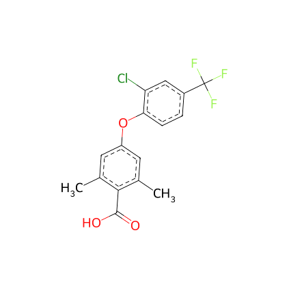 Cc1cc(Oc2ccc(C(F)(F)F)cc2Cl)cc(C)c1C(=O)O